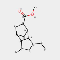 CCC1CC(C)C2C3CC(C(=O)OC)C(C3)C12